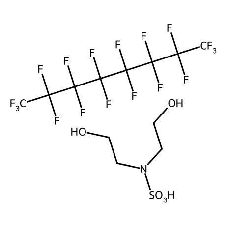 FC(F)(F)C(F)(F)C(F)(F)C(F)(F)C(F)(F)C(F)(F)C(F)(F)C(F)(F)F.O=S(=O)(O)N(CCO)CCO